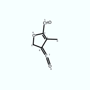 CC1=C(C=O)OCC1=C=O